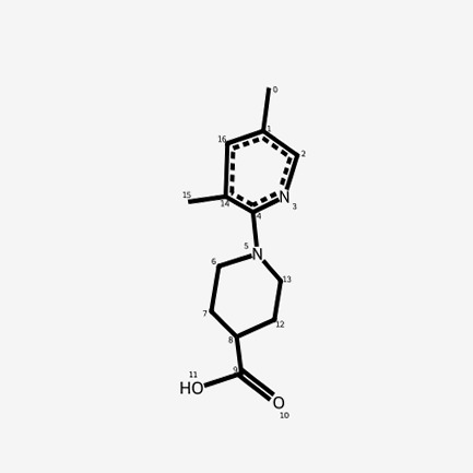 Cc1cnc(N2CCC(C(=O)O)CC2)c(C)c1